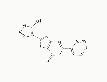 Cc1[nH]ncc1-c1cc2nc(-c3ccccn3)[nH]c(=O)c2s1